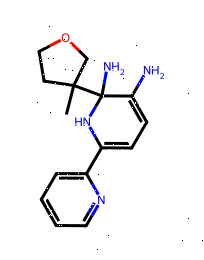 CC1(C2(N)NC(c3ccccn3)=CC=C2N)CCOC1